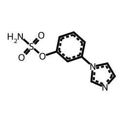 NS(=O)(=O)Oc1cccc(-n2ccnc2)c1